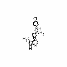 Cc1c[nH]c2ncnc(N3CCC(N)(CNc4ccc(Cl)cc4)C3)c12